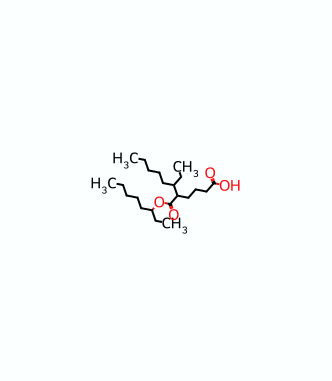 CCCCCC(CC)OC(=O)C(CCCC(=O)O)C(CC)CCCCC